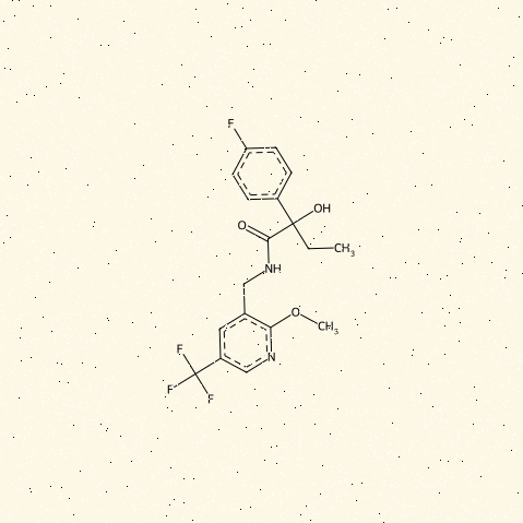 CCC(O)(C(=O)NCc1cc(C(F)(F)F)cnc1OC)c1ccc(F)cc1